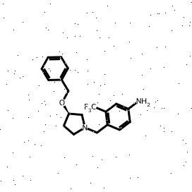 Nc1ccc(CN2CC[C@@H](OCc3ccccc3)C2)c(C(F)(F)F)c1